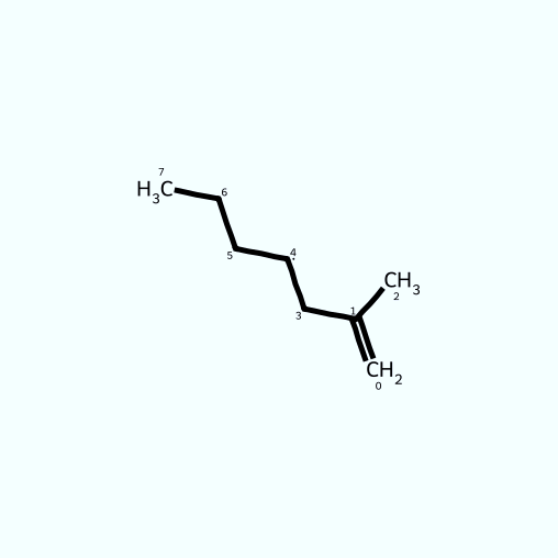 C=C(C)C[CH]CCC